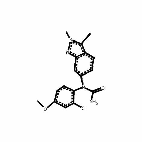 COc1ccc(N(C(N)=O)c2ccc3c(C)n(C)nc3c2)c(Cl)c1